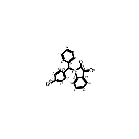 O=C1C(=O)N(C(c2ccccc2)c2ccc(Br)cc2)c2ccccc21